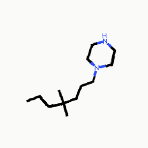 CCCC(C)(C)CCCN1CCNCC1